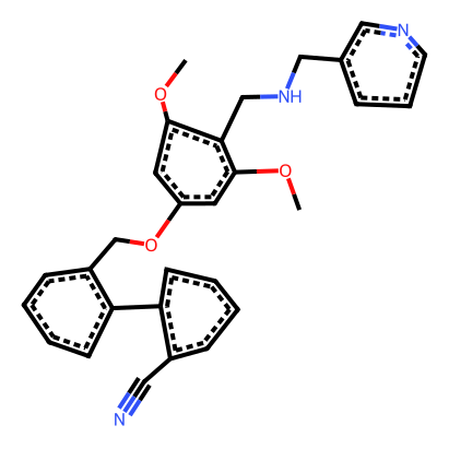 COc1cc(OCc2ccccc2-c2ccccc2C#N)cc(OC)c1CNCc1cccnc1